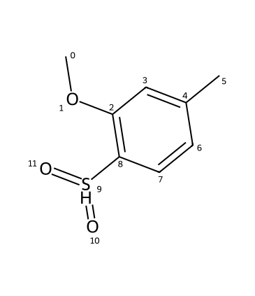 COc1cc(C)ccc1[SH](=O)=O